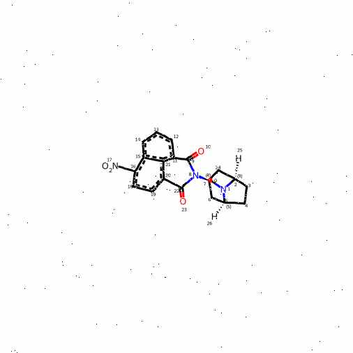 CN1[C@@H]2CC[C@H]1C[C@@H](N1C(=O)c3cccc4c([N+](=O)[O-])ccc(c34)C1=O)C2